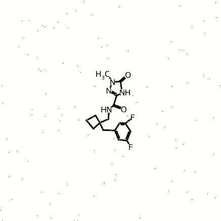 Cn1nc(C(=O)NCC2(Cc3cc(F)cc(F)c3)CCC2)[nH]c1=O